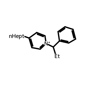 CCCCCCCc1cc[n+](C(CC)c2ccccc2)cc1